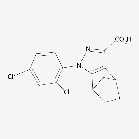 O=C(O)c1nn(-c2ccc(Cl)cc2Cl)c2c1C1CCC2C1